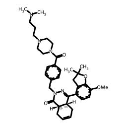 COc1ccc(C2=NN(Cc3ccc(C(=O)N4CCN(CCCN(C)C)CC4)cc3)C(=O)[C@H]3CC=CC[C@@H]23)c2c1OC(C)(C)C2